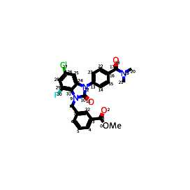 COC(=O)c1cccc(Cn2c(=O)n(-c3ccc(C(=O)N(C)C)cc3)c3cc(Cl)cc(F)c32)c1